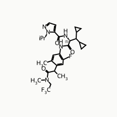 Cc1cc(NC(=O)[C@@H](NC(=O)c2ccnn2C(C)C)C(C2CC2)C2CC2)c(F)cc1C(C)C(=O)N(C)CC(F)(F)F